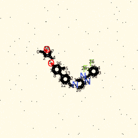 Cc1cc(COc2ccc(-c3ccc(Cn4ccc5nc(-c6cccc(F)c6F)nc-5c4)cc3)c(C)c2)co1